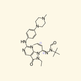 C/C=C\C(=N/N(C=O)C(C)(C)C)n1c2nc(Nc3ccc(N4CCN(C)CC4)cc3)ncc2c(=O)n1CC